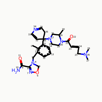 Cc1c(CN2CON=C2C(N)=O)cccc1C1(N2CCN(C(=O)C=CCN(C)C)C(C)C2)C=CN=CC1